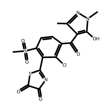 Cc1nn(C)c(O)c1C(=O)c1ccc(S(C)(=O)=O)c(C2=NC(=O)C(=O)S2)c1Cl